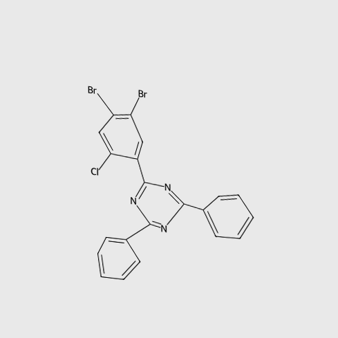 Clc1cc(Br)c(Br)cc1-c1nc(-c2ccccc2)nc(-c2ccccc2)n1